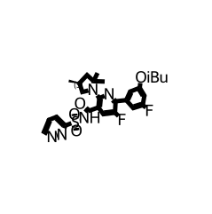 CC(C)COc1cc(F)cc(-c2nc(N3C[C@@H](C)CC3(C)C)c(C(=O)NS(=O)(=O)c3cccnn3)cc2F)c1